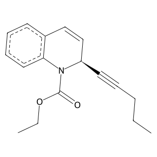 CCCC#C[C@@H]1C=Cc2ccccc2N1C(=O)OCC